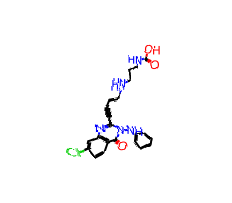 O=C(O)NCCCNCCC#Cc1nc2cc(Cl)ccc2c(=O)n1Nc1ccccc1